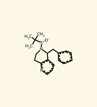 CC(C)(C)[S+]([O-])N1CCc2ncccc2C1Cc1ccccc1